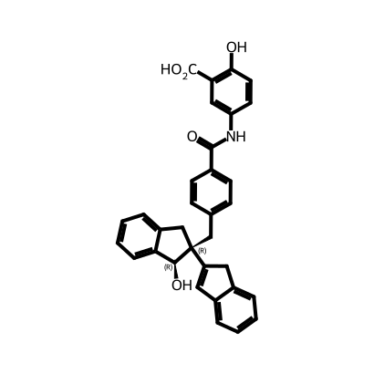 O=C(Nc1ccc(O)c(C(=O)O)c1)c1ccc(C[C@]2(C3=Cc4ccccc4C3)Cc3ccccc3[C@@H]2O)cc1